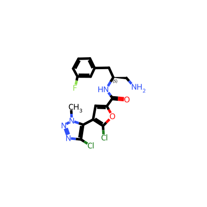 Cn1nnc(Cl)c1-c1cc(C(=O)N[C@H](CN)Cc2cccc(F)c2)oc1Cl